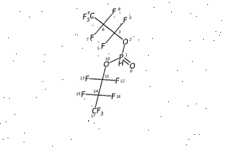 O=[PH](OC(F)(F)C(F)(F)C(F)(F)F)OC(F)(F)C(F)(F)C(F)(F)F